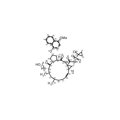 COc1cnc(O[C@@H]2C[C@H]3C(=O)N[C@]4(C(=O)NS(=O)(=O)C5(Cl)CC5)C[C@H]4C=CCC[C@@H](C)C[C@@H](C)[C@H](NC(=O)O)C(=O)N3C2)c2ccccc12